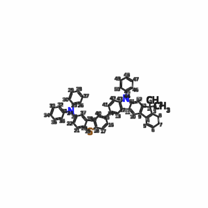 CC1(C)C2=C(C=CCC2)c2cc3c4cc(-c5ccc6sc7ccc(N(c8ccccc8)c8ccccc8)cc7c6c5)ccc4n(-c4ccccc4)c3cc21